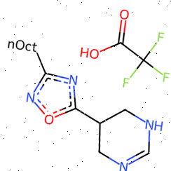 CCCCCCCCc1noc(C2CN=CNC2)n1.O=C(O)C(F)(F)F